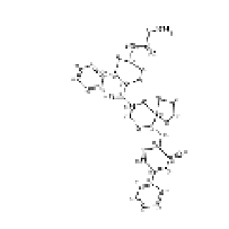 CCC(=O)N[C@@H]1CCN(C(=O)N2CC[C@@H](Cn3cnc(-c4ccccc4)cc3=O)C3(CCCC3)C2)[C@H](c2ccccc2)C1